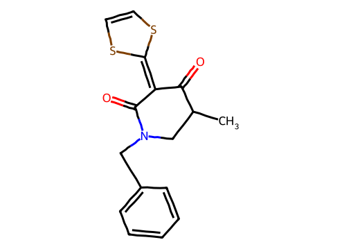 CC1CN(Cc2ccccc2)C(=O)C(=C2SC=CS2)C1=O